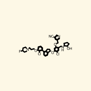 N#Cc1cncc(COc2cc(O[C@H]3CCc4c(-c5cccc(OCCCN6CCC(F)CC6)c5Cl)cccc43)c(Cl)cc2CN[C@H]2CCC[C@H]2O)c1